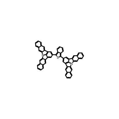 c1ccc2cc3c(cc2c1)c1cc(-c2sc(-c4cc5c6cc7ccccc7cc6n6c7cc8ccccc8cc7c(c4)c56)c4ccccc24)cc2c4cc5ccccc5cc4n3c12